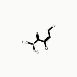 CN(C)C(=O)/C(Cl)=C\CBr